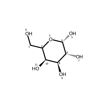 OCC1O[C@H](O)[C@H](O)[C@@H](O)[C@H]1O